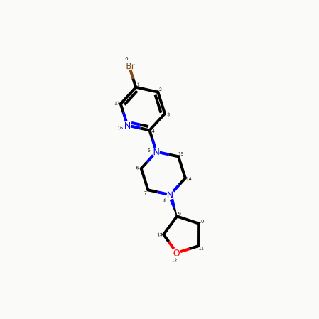 Brc1ccc(N2CCN([C@H]3CCOC3)CC2)nc1